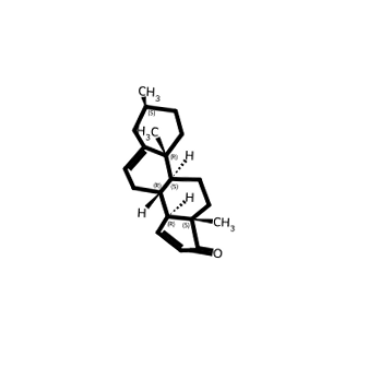 C[C@H]1CC[C@@]2(C)C(=CC[C@@H]3[C@@H]2CC[C@]2(C)C(=O)C=C[C@@H]32)C1